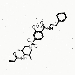 C=CC(=O)NC1C(C)CN(S(=O)(=O)c2ccc(C(=O)NCCc3ccccc3)c(OC)c2)CC1C